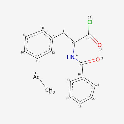 CC(C)=O.O=C(NC(Cc1ccccc1)C(=O)Cl)c1ccccc1